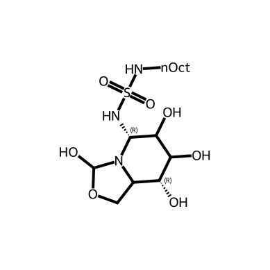 CCCCCCCCNS(=O)(=O)N[C@@H]1C(O)C(O)[C@H](O)C2COC(O)N21